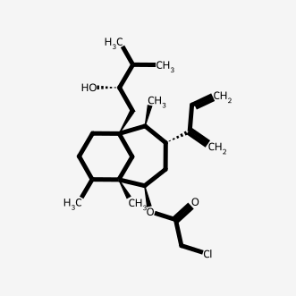 C=CC(=C)[C@@H]1C[C@@H](OC(=O)CCl)[C@@]2(C)C[C@](C[C@H](O)C(C)C)(CCC2C)[C@H]1C